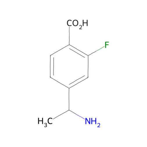 CC(N)c1ccc(C(=O)O)c(F)c1